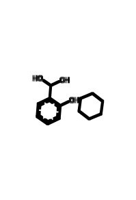 C1CCCCC1.Oc1ccccc1C(O)O